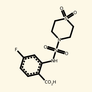 O=C(O)c1ccc(F)cc1NS(=O)(=O)N1CCS(=O)(=O)CC1